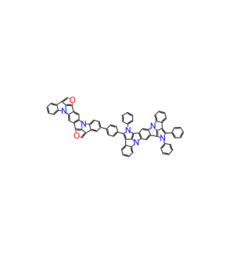 c1ccc(-c2c3c4ccccc4n4c5cc6c7c8c(c(-c9ccc(-c%10ccc%11c(c%10)c%10coc%12c%13cc%14c(cc%13n%11c%10%12)c%10occ%11c%12ccccc%12n%14c%11%10)cc9)n7-c7ccccc7)c7ccccc7n8c6cc5c(c34)n2-c2ccccc2)cc1